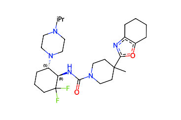 CC(C)N1CCN([C@H]2CCCC(F)(F)[C@@H]2NC(=O)N2CCC(C)(c3nc4c(o3)CCCC4)CC2)CC1